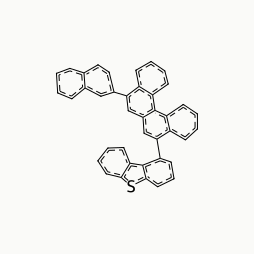 c1ccc2cc(-c3cc4cc(-c5cccc6sc7ccccc7c56)c5ccccc5c4c4ccccc34)ccc2c1